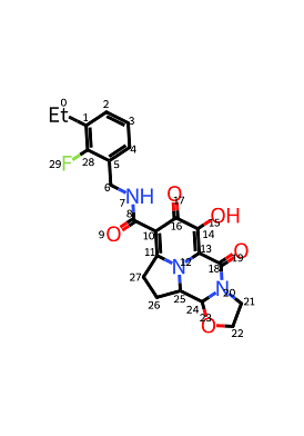 CCc1cccc(CNC(=O)c2c3n4c(c(O)c2=O)C(=O)N2CCOC2C4CC3)c1F